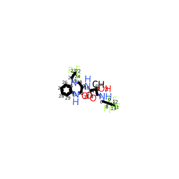 C[C@](O)(C(=O)NCC(F)(F)C(F)(F)F)C(=O)N[C@H]1CN(CC(F)(F)F)c2ccccc2NC1=O